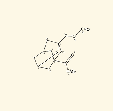 COC(=O)C12CC3CC(CC(COC=O)(C3)C1)C2